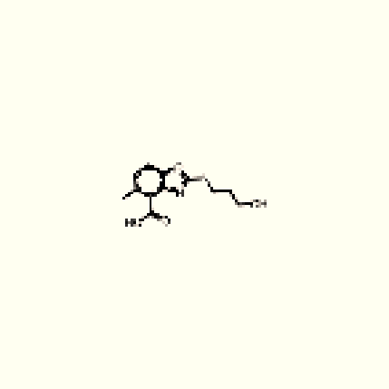 Cc1ccc2oc(NCCCO)nc2c1C(=O)O